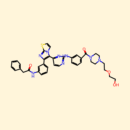 O=C(Cc1ccccc1)Nc1cccc(-c2nc3sccn3c2-c2ccnc(Nc3cccc(C(=O)N4CCN(CCOCCO)CC4)c3)n2)c1